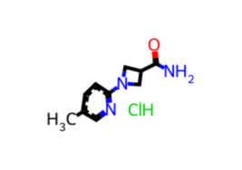 Cc1ccc(N2CC(C(N)=O)C2)nc1.Cl